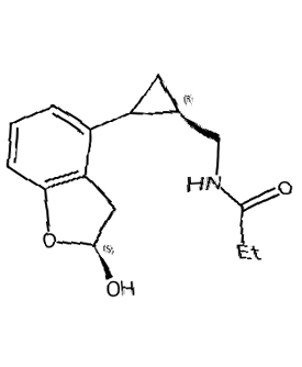 CCC(=O)NC[C@@H]1CC1c1cccc2c1C[C@@H](O)O2